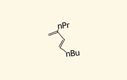 C=C(C=CCCCC)CCC